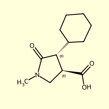 CN1C[C@H](C(=O)O)[C@@H](C2CCCCC2)C1=O